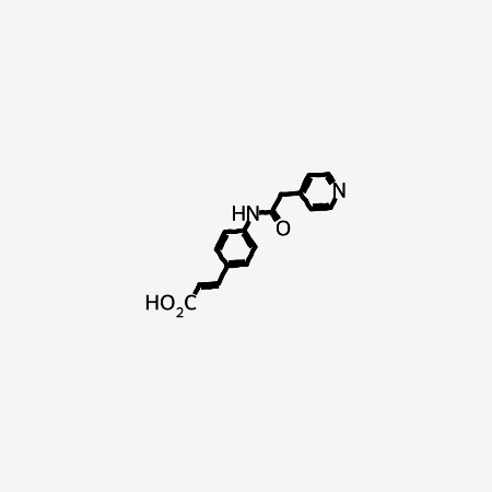 O=C(O)C=Cc1ccc(NC(=O)Cc2ccncc2)cc1